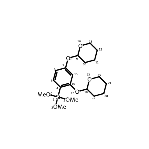 CO[Si](OC)(OC)c1ccc(OC2CCCCO2)cc1OC1CCCCO1